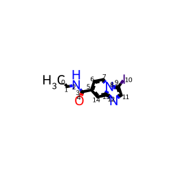 CCNC(=O)c1ccn2c(I)cnc2c1